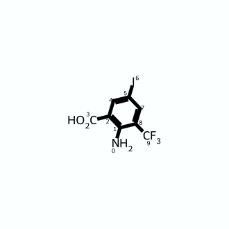 Nc1c(C(=O)O)cc(I)cc1C(F)(F)F